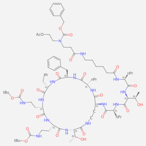 CCC[C@H](NC(=O)CCCCCNC(=O)CCN(CCOC(C)=O)C(=O)OCc1ccccc1)C(=O)N[C@H](C(=O)N[C@@H](CCC)C(=O)N[C@H]1CCNC(=O)[C@H]([C@@H](C)O)NC(=O)[C@H](CCNC(=O)OC(C)(C)C)NC(=O)[C@H](CCNC(=O)OC(C)(C)C)NC(=O)[C@H](CC(C)C)NC(=O)[C@@H](Cc2ccccc2)NC(=O)[C@H](CCC)NC1=O)[C@@H](C)O